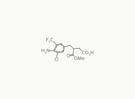 COC(=O)C(CC(=O)O)Cc1cc(Cl)c(N)c(C(F)(F)F)c1